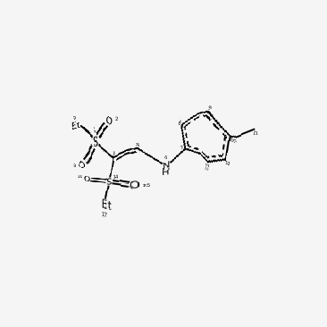 CCS(=O)(=O)C(=CNc1ccc(C)cc1)S(=O)(=O)CC